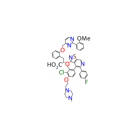 COc1ccccc1-c1nccc(COc2ccccc2CC(Oc2nsc3cnc(-c4ccc(F)cc4)c(-c4ccc(OCCN5CCN(C)CC5)c(Cl)c4C)c23)C(=O)O)n1